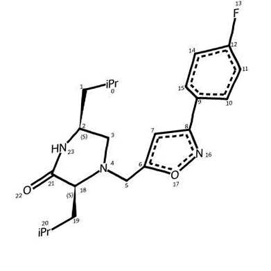 CC(C)C[C@H]1CN(Cc2cc(-c3ccc(F)cc3)no2)[C@@H](CC(C)C)C(=O)N1